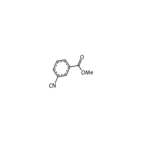 [C-]#[N+]c1cccc(C(=O)OC)c1